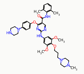 COc1cc(Nc2ncc(C(=O)Nc3c(C)cccc3C)c(Oc3ccc(N4CCNCC4)cc3)n2)cc(OC)c1OCCCN1CCN(C)CC1